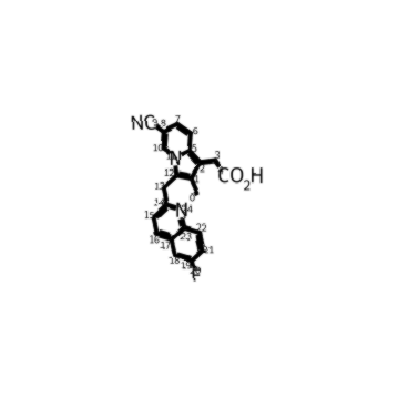 Cc1c(CC(=O)O)c2ccc(C#N)cn2c1Cc1ccc2cc(F)ccc2n1